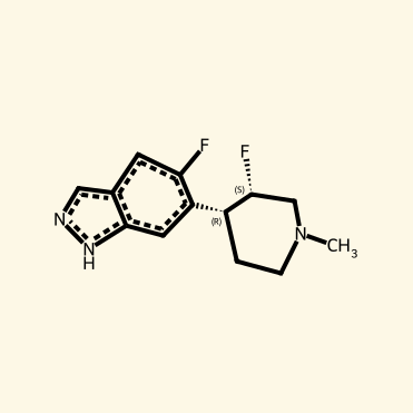 CN1CC[C@H](c2cc3[nH]ncc3cc2F)[C@H](F)C1